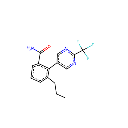 CCCc1cccc(C(N)=O)c1-c1cnc(C(F)(F)F)nc1